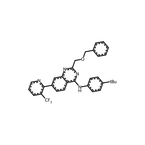 CC(C)(C)c1ccc(Nc2nc(COCc3ccccc3)nc3cc(-c4ncccc4C(F)(F)F)ccc23)cc1